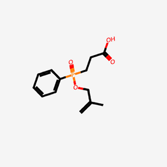 C=C(C)COP(=O)(CCC(=O)O)c1ccccc1